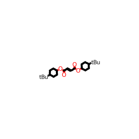 CC(C)(C)C1CCC(OC(=O)/C=C/C(=O)OC2CCC(C(C)(C)C)CC2)CC1